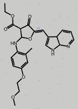 CCOC(=O)C1C(=O)/C(=C/C2=CNC3N=CC=CC23)OC1Nc1ccc(OCCOC)cc1C